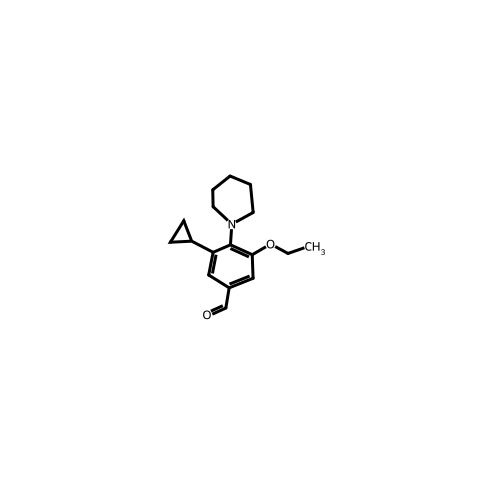 CCOc1cc(C=O)cc(C2CC2)c1N1CCCCC1